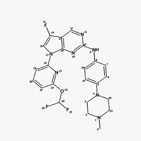 CN1CCN(c2ccc(Nc3ncc4c(F)cn(-c5cccc(OC(F)F)n5)c4n3)cc2)CC1